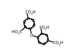 O=C(O)c1ccc(Oc2ccc(C(=O)O)cc2S(=O)(=O)O)c(S(=O)(=O)O)c1